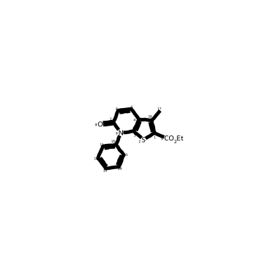 CCOC(=O)c1sc2c(ccc(=O)n2-c2ccccc2)c1C